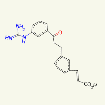 N=C(N)Nc1cccc(C(=O)CCc2cccc(C=CC(=O)O)c2)c1